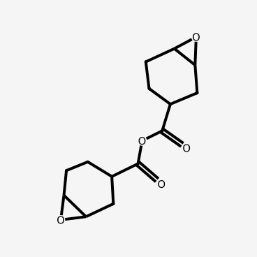 O=C(OC(=O)C1CCC2OC2C1)C1CCC2OC2C1